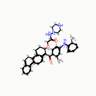 Cc1ccccc1Nc1ccc(C(=O)C2=c3ccc4c(c3CCC2OCC(=O)NN2CCNCC2)CC=c2ccccc2=4)c(C)c1